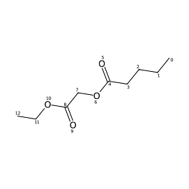 CCCCC(=O)OCC(=O)OCC